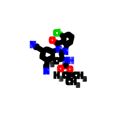 CC(NC(=O)OC(C)(C)C)c1nc2cccc(Cl)c2c(=O)n1-c1cc(C#N)cc(C#N)c1